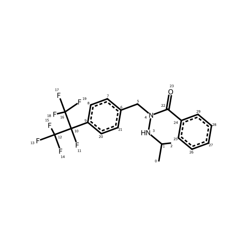 CC(C)NN(Cc1ccc(C(F)(C(F)(F)F)C(F)(F)F)cc1)C(=O)c1ccccc1